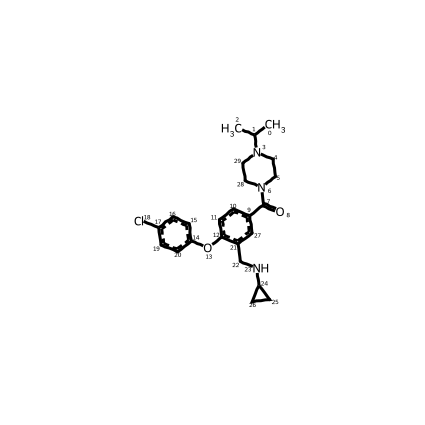 CC(C)N1CCN(C(=O)c2ccc(Oc3ccc(Cl)cc3)c(CNC3CC3)c2)CC1